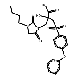 CCCCN1CC(=O)N(CC(O)(CS(=O)(=O)c2ccc(Oc3ccccc3)cc2)C(=O)O)C1=O